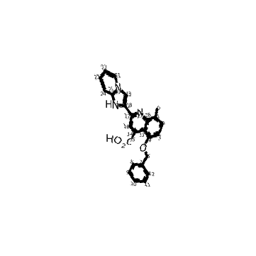 Cc1ccc(OCc2ccccc2)c2c(C(=O)O)cc(C3=CN4C=CC=CC4N3)nc12